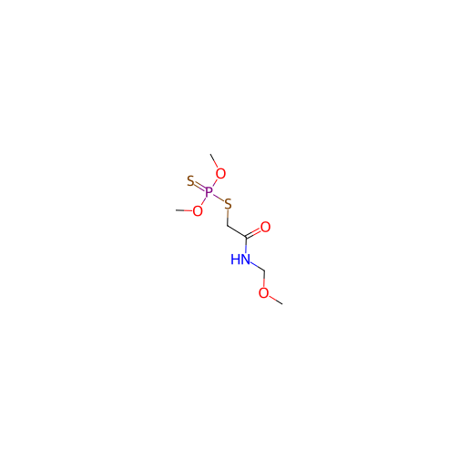 COCNC(=O)CSP(=S)(OC)OC